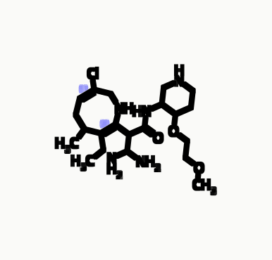 CC/C1=C(\C(C(=O)NC2CNCCC2OCCOC)C(N)N)NC/C(Cl)=C\CC1C